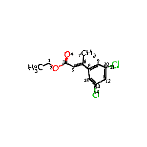 CCOC(=O)C=C(C)c1cc(Cl)cc(Cl)c1